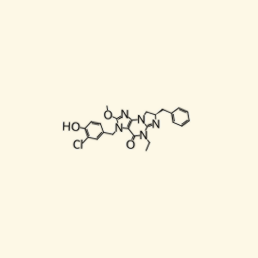 CCN1C(=O)c2c(nc(OC)n2Cc2ccc(O)c(Cl)c2)N2C[C@@H](Cc3ccccc3)N=C12